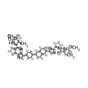 CC[C@H](NC(=O)OC)C(=O)N1CCC[C@H]1c1ncc(-c2ccc3cc(-c4ccc(-c5cnc([C@@H]6CCCN6C(=O)[C@@H](NC(=O)OC)C(C)C)[nH]5)cc4)ccc3c2)[nH]1